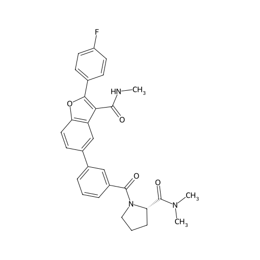 CNC(=O)c1c(-c2ccc(F)cc2)oc2ccc(-c3cccc(C(=O)N4CCC[C@H]4C(=O)N(C)C)c3)cc12